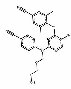 Cc1cc(C#N)cc(C)c1Oc1nc(N(COCCO)c2ccc(C#N)cc2)ncc1Br